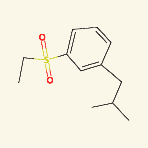 CCS(=O)(=O)c1cccc(CC(C)C)c1